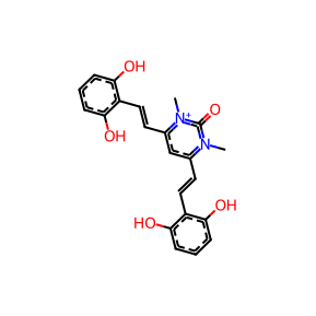 Cn1c(C=Cc2c(O)cccc2O)cc(C=Cc2c(O)cccc2O)[n+](C)c1=O